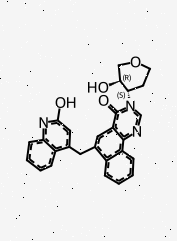 O=c1c2cc(Cc3cc(O)nc4ccccc34)c3ccccc3c2ncn1[C@H]1CCOC[C@@H]1O